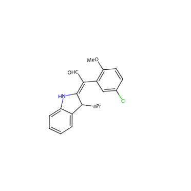 CCCC1C(=C(C=O)c2cc(Cl)ccc2OC)Nc2ccccc21